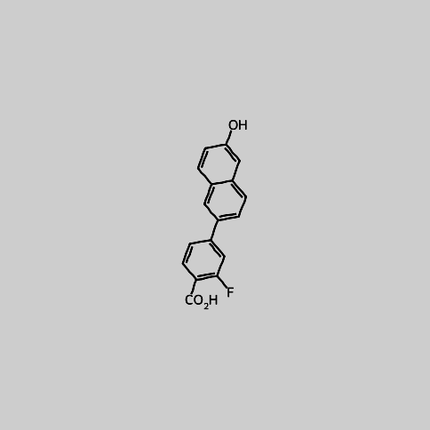 O=C(O)c1ccc(-c2ccc3cc(O)ccc3c2)cc1F